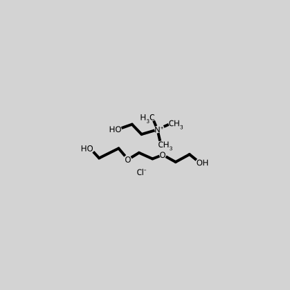 C[N+](C)(C)CCO.OCCOCCOCCO.[Cl-]